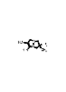 CC1(C)CN2CC(N)=C(N)N2C1